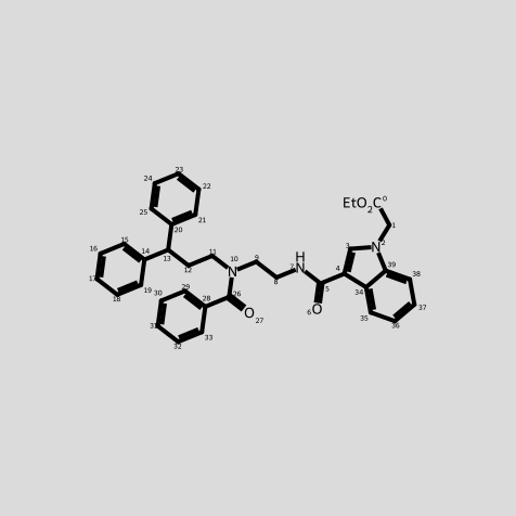 CCOC(=O)Cn1cc(C(=O)NCCN(CCC(c2ccccc2)c2ccccc2)C(=O)c2ccccc2)c2ccccc21